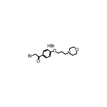 Br.O=C(CBr)c1ccc(OCCCN2CCOCC2)cc1